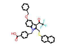 O=C(O)c1ccc(Cn2c(CSc3ccc4ccccc4c3)c(C(=O)C(F)(F)F)c3cc(OCc4ccccc4)ccc32)cc1